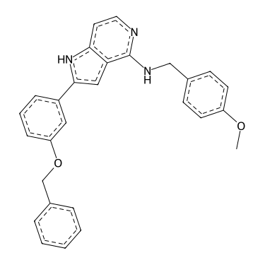 COc1ccc(CNc2nccc3[nH]c(-c4cccc(OCc5ccccc5)c4)cc23)cc1